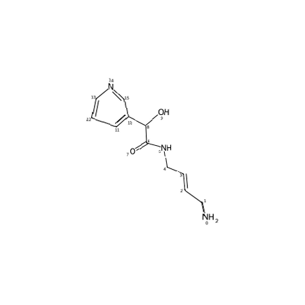 NC/C=C/CNC(=O)C(O)c1cccnc1